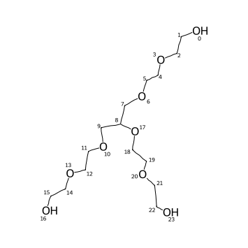 OCCOCCOCC(COCCOCCO)OCCOCCO